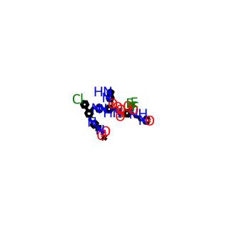 CC(C)(C)OC(=O)N1CC2(CCN(C[C@]3(C)CCC(c4ccc(Cl)cc4)=C(CN4CCN(c5ccc(C(=O)NS(=O)(=O)c6ccc(NCCCN7CCOCC7)c(S(=O)(=O)C(F)(F)F)c6)c(Oc6cnc7[nH]ccc7c6)c5)CC4)C3)CC2)C1